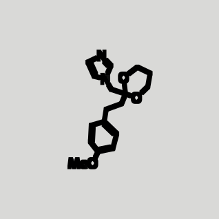 COc1ccc(CCC2(Cn3ccnc3)OCCCO2)cc1